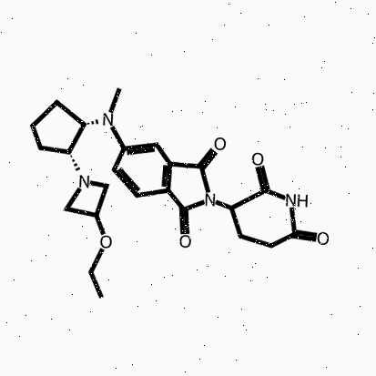 CCOC1CN([C@@H]2CCC[C@@H]2N(C)c2ccc3c(c2)C(=O)N(C2CCC(=O)NC2=O)C3=O)C1